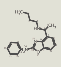 CCCCNC(C)c1cccc2oc(N)nc12.c1ccccc1